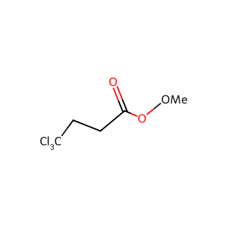 COOC(=O)CCC(Cl)(Cl)Cl